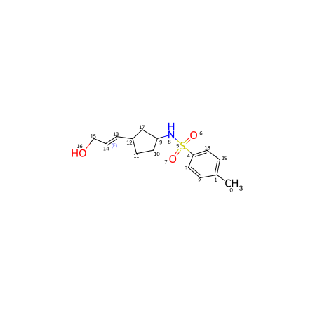 Cc1ccc(S(=O)(=O)NC2CCC(/C=C/CO)C2)cc1